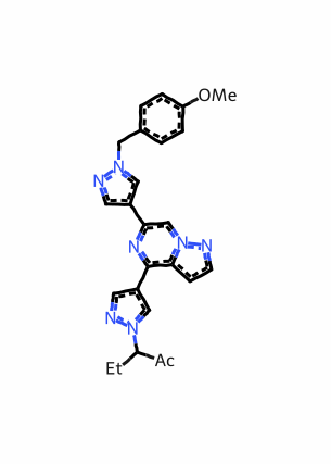 CCC(C(C)=O)n1cc(-c2nc(-c3cnn(Cc4ccc(OC)cc4)c3)cn3nccc23)cn1